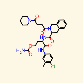 Cc1cc(NC(=O)C(CCOC(N)=O)NC(=O)C2Cc3ccccc3CN2C(=O)CCC(=O)N2CCCCC2)ccc1Cl